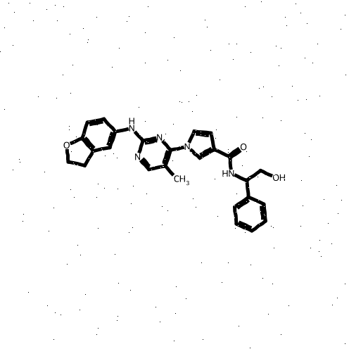 Cc1cnc(Nc2ccc3c(c2)CCO3)nc1-n1ccc(C(=O)NC(CO)c2ccccc2)c1